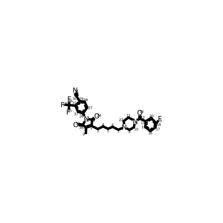 CC1=C(CCCCCN2CCN(C(=O)c3cccc(F)c3)CC2)C(=O)N(c2ccc(C#N)c(C(F)(F)F)c2)C1=O